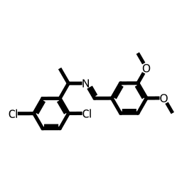 COc1ccc(C=NC(C)c2cc(Cl)ccc2Cl)cc1OC